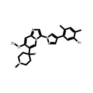 CCOc1cc2ncc(-n3cc(-c4cc(C(C)=O)c(C)cc4C)cn3)n2cc1C1(F)CCN(C)CC1